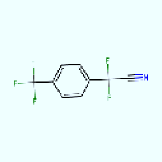 N#CC(F)(F)c1ccc(C(F)(F)F)cc1